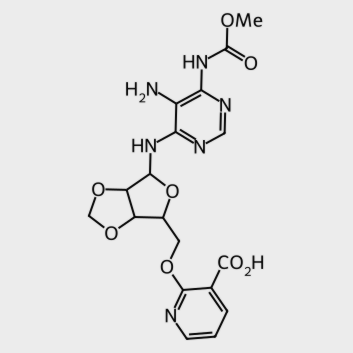 COC(=O)Nc1ncnc(NC2OC(COc3ncccc3C(=O)O)C3OCOC23)c1N